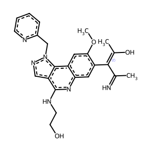 COc1cc2c(cc1/C(C(C)=N)=C(\C)O)nc(NCCO)c1cnn(Cc3ccccn3)c12